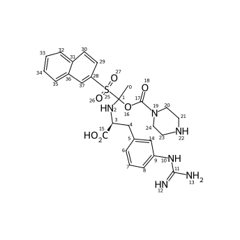 CC(N[C@@H](Cc1cccc(NC(=N)N)c1)C(=O)O)(OC(=O)N1CCNCC1)S(=O)(=O)c1ccc2ccccc2c1